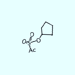 CC(=O)S(=O)(=O)OC1CCCC1